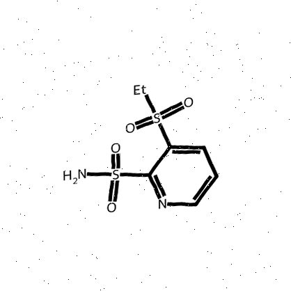 CCS(=O)(=O)c1cccnc1S(N)(=O)=O